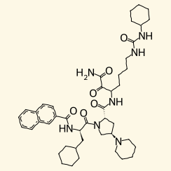 NC(=O)C(=O)C(CCCCNC(=O)NC1CCCCC1)NC(=O)[C@@H]1C[C@@H](N2CCCCC2)CN1C(=O)[C@@H](CC1CCCCC1)NC(=O)c1ccc2ccccc2c1